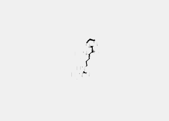 N=C(N)NCCC[C@H](N)C(=O)c1ncccn1